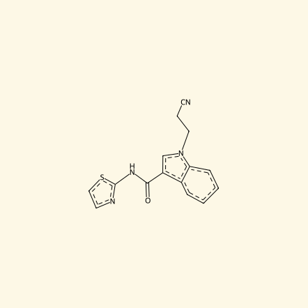 N#CCCn1cc(C(=O)Nc2nccs2)c2ccccc21